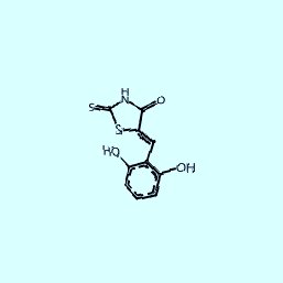 O=C1NC(=S)S/C1=C\c1c(O)cccc1O